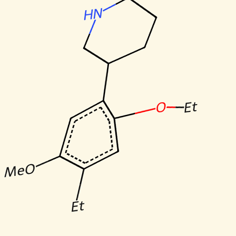 CCOc1cc(CC)c(OC)cc1C1CCCNC1